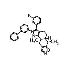 C[C@H]1c2oncc2C[C@@]2(C)c3nn(-c4cccc(-c5ccccc5)c4)c(-c4cccc(F)c4)c3CC[C@H]12